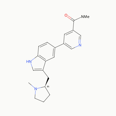 CNC(=O)c1cncc(-c2ccc3[nH]cc(C[C@H]4CCCN4C)c3c2)c1